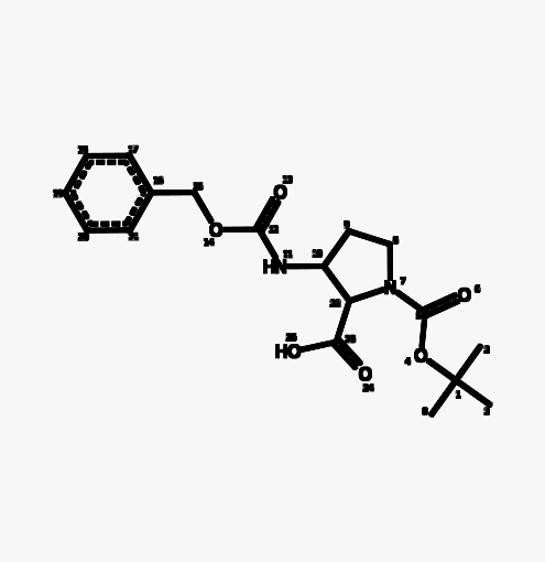 CC(C)(C)OC(=O)N1CCC(NC(=O)OCc2ccccc2)C1C(=O)O